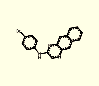 Brc1ccc(Nc2cnc3cc4ccccc4cc3n2)cc1